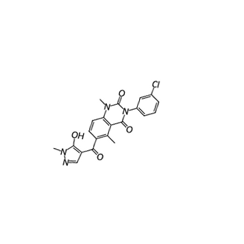 Cc1c(C(=O)c2cnn(C)c2O)ccc2c1c(=O)n(-c1cccc(Cl)c1)c(=O)n2C